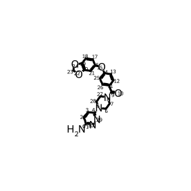 Nc1ccc(N2CCN(C(=O)c3ccc(Oc4ccc5c(c4)OCO5)cc3)CC2)nn1